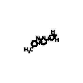 Cc1ccc2nc3nc(N4C[C@H]5C[C@H]5C4)ccn3c2c1